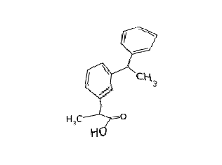 CC(C(=O)O)c1cccc(C(C)c2ccccc2)c1